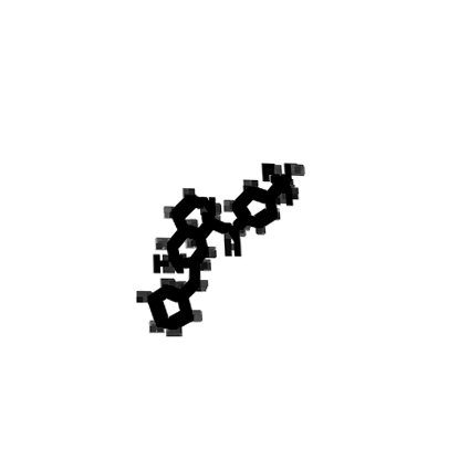 FC(F)(F)c1ccc(Nc2nccc3c2CC(Cc2ccccc2)NC3)cc1